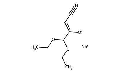 CCOC(OCC)/C([O-])=C/C#N.[Na+]